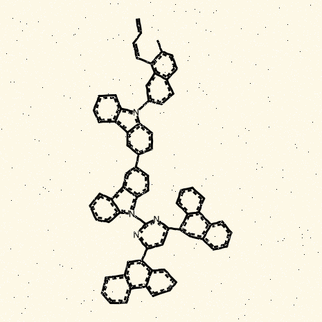 C=C/C=C\c1c(C)ccc2ccc(-n3c4ccccc4c4cc(-c5ccc6c(c5)c5ccccc5n6-c5nc(-c6cc7ccccc7c7ccccc67)cc(-c6cc7ccccc7c7ccccc67)n5)ccc43)cc12